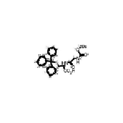 CC(C)(C)OC(=O)NCC(=O)NC(CSC(c1ccccc1)(c1ccccc1)c1ccccc1)C(=O)O